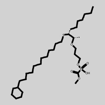 CCCCCCC[C@@H](SCCCCCCCCCCCCC1CCCCC1)[C@H](C)OCCCOP(=O)(O)C(=O)OC